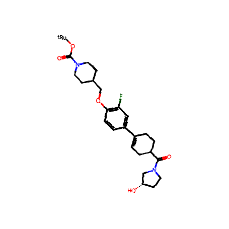 CC(C)(C)OC(=O)N1CCC(COc2ccc(C3=CCC(C(=O)N4CC[C@H](O)C4)CC3)cc2F)CC1